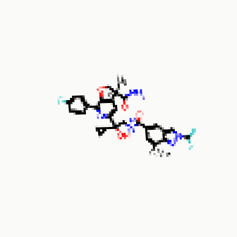 COc1cc(C(=O)NCC(O)(c2cc3c(c(-c4ccc(F)cc4)n2)OC[C@]3(C)C(N)=O)C2CC2)cc2cn(C(F)F)nc12